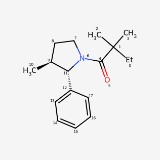 CCC(C)(C)C(=O)N1CC[C@H](C)[C@H]1c1ccccc1